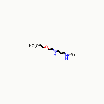 CC(C)(C)NCCCNCCOCCC(=O)O